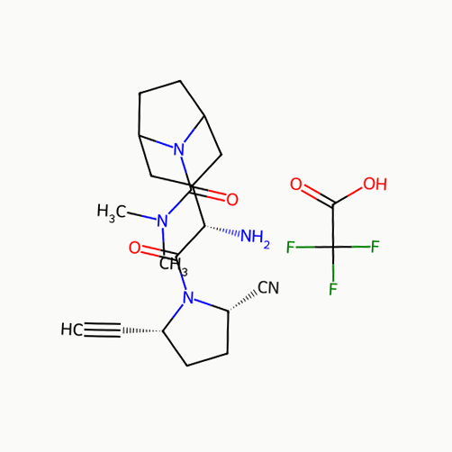 C#C[C@H]1CC[C@@H](C#N)N1C(=O)[C@@H](N)C1CC2CCC(C1)N2C(=O)N(C)C.O=C(O)C(F)(F)F